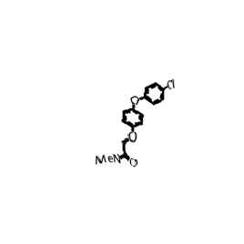 CNC(=O)COc1ccc(Oc2ccc(Cl)cc2)cc1